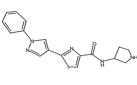 O=C(NC1CCNC1)c1csc(-c2cnn(-c3ccccc3)c2)n1